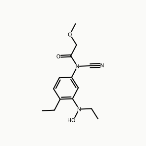 CCc1ccc(N(C#N)C(=O)COC)cc1N(O)CC